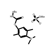 CCCCNC(=O)Oc1cc(C)c([S+](C)C)cc1C.COS(=O)(=O)[O-]